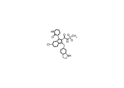 CS(=O)(=O)NC(=O)c1c(-c2ccc[nH]c2=O)c2cc(Cl)ccc2n1Cc1ccc2c(c1)NCC2